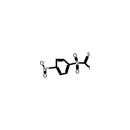 O=[N+]([O-])c1ccc(S(=O)(=O)C(=S)I)cc1